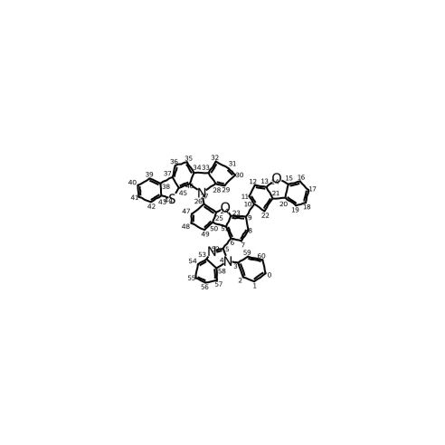 c1ccc(-n2c(-c3ccc(-c4ccc5oc6ccccc6c5c4)c4oc5c(-n6c7ccccc7c7ccc8c9ccccc9sc8c76)cccc5c34)nc3ccccc32)cc1